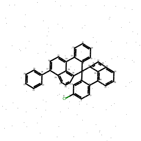 Clc1ccc2c(c1)C1(c3ccccc3-c3ccc(-c4ccccc4)c4cccc1c34)c1cccc3cccc-2c13